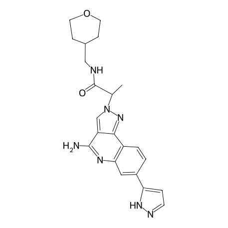 CC(C(=O)NCC1CCOCC1)n1cc2c(N)nc3cc(-c4ccn[nH]4)ccc3c2n1